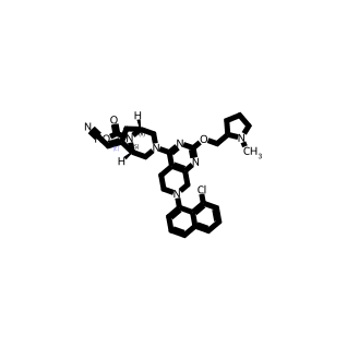 CN1CCCC1COc1nc2c(c(N3C[C@H]4C/C(=C\C#N)[C@@H](C3)N4C(=O)O)n1)CCN(c1cccc3cccc(Cl)c13)C2